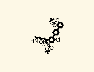 COc1cccc(-c2ccc(-c3cc4c(cc3Cl)N(C(=O)OC(C)(C)C)C(=O)C4=CC(O)=CC(C)=N)cc2)c1O[Si](C)(C)C(C)(C)C